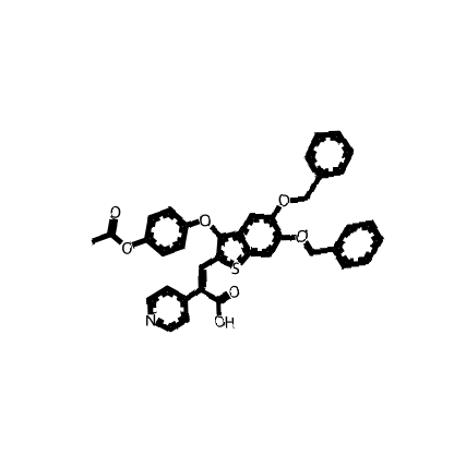 CC(=O)Oc1ccc(Oc2c(C=C(C(=O)O)c3ccncc3)sc3cc(OCc4ccccc4)c(OCc4ccccc4)cc23)cc1